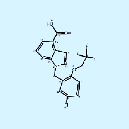 CC(C)(F)COc1ccc(Cl)cc1Cn1ncc2c(C(=O)O)cccc21